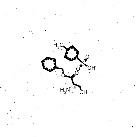 Cc1ccc(S(=O)(=O)O)cc1.N[C@@H](CO)C(=O)OCc1ccccc1